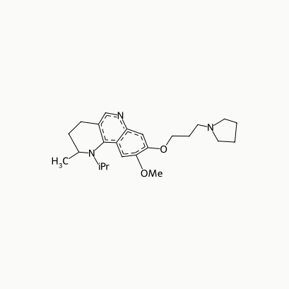 COc1cc2c3c(cnc2cc1OCCCN1CCCC1)CCC(C)N3C(C)C